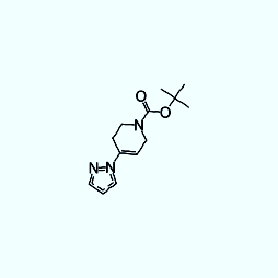 CC(C)(C)OC(=O)N1CC=C(n2cccn2)CC1